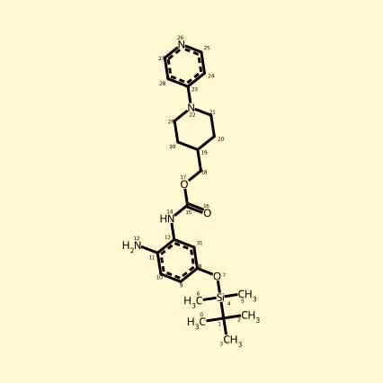 CC(C)(C)[Si](C)(C)Oc1ccc(N)c(NC(=O)OCC2CCN(c3ccncc3)CC2)c1